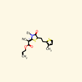 C=CCOC(=O)/C(C#N)=C1\SC(CCc2sccc2C)C(=O)N1CC